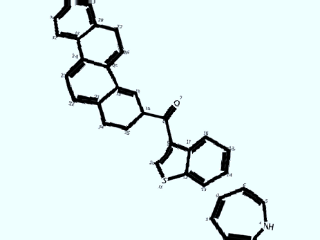 C1=CC=CNC=C1.O=C(c1csc2ccccc12)C1C=c2c(ccc3c2=CCc2ccccc2-3)CC1